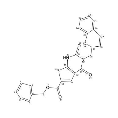 O=C(OCc1ccccc1)c1cc2c(=O)n(CC3C=Cc4ccccc4O3)c(=O)[nH]c2s1